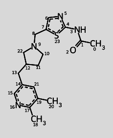 CC(=O)Nc1ncc(CN2CCC(Cc3cnc(C)c(C)c3)C2)s1